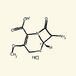 COC1=C(C(=O)O)N2C(=O)C(N)[C@@H]2SC1.Cl